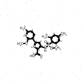 COc1nc(C)ccc1-c1cc(NP(=O)(OC)c2ccc(C)cc2C)c(C(=O)O)s1